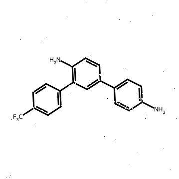 Nc1ccc(-c2ccc(N)c(-c3ccc(C(F)(F)F)cc3)c2)cc1